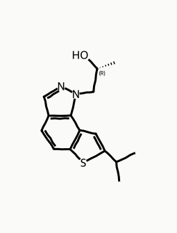 CC(C)c1cc2c(ccc3cnn(C[C@@H](C)O)c32)s1